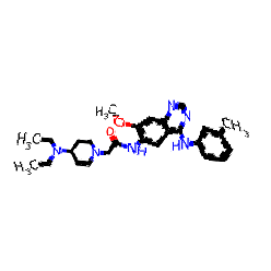 CCN(CC)C1CCN(CC(=O)Nc2cc3c(Nc4cccc(C)c4)ncnc3cc2OC)CC1